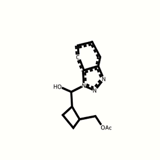 CC(=O)OCC1CCC1C(O)n1nnc2ccccc21